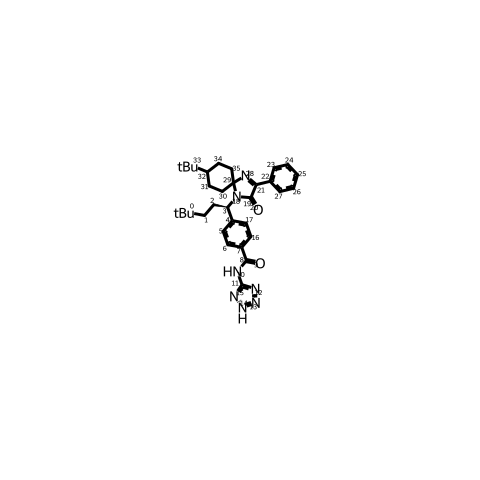 CC(C)(C)CC[C@H](c1ccc(C(=O)Nc2nn[nH]n2)cc1)N1C(=O)C(c2ccccc2)=NC12CCC(C(C)(C)C)CC2